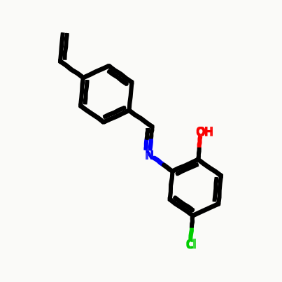 C=Cc1ccc(C=Nc2cc(Cl)ccc2O)cc1